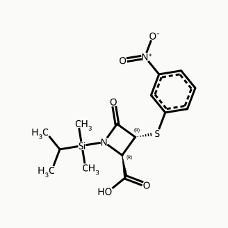 CC(C)[Si](C)(C)N1C(=O)[C@H](Sc2cccc([N+](=O)[O-])c2)[C@H]1C(=O)O